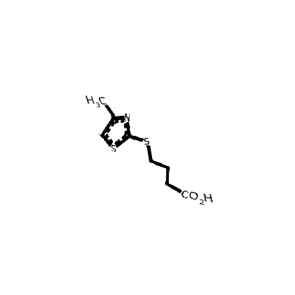 Cc1[c]sc(SCCCC(=O)O)n1